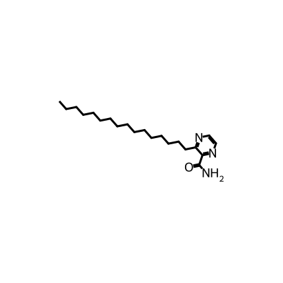 CCCCCCCCCCCCCCCCc1nccnc1C(N)=O